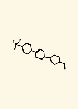 CCC1CCC(C2CC=C(C3CCC(C(F)(F)F)CC3)CC2)CC1